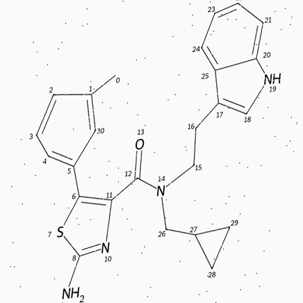 Cc1cccc(-c2sc(N)nc2C(=O)N(CCc2c[nH]c3ccccc23)CC2CC2)c1